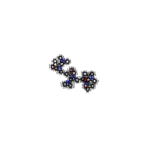 c1ccc(-c2ccccc2B2c3c(cc4c5ccccc5n5c6ccccc6c3c45)-n3c4cc(-c5ccc(B6c7ccccc7-n7c8cc(-c9ccc%10c%11c%12c%13c(c%14c%11n(c%10c9)-c9ccccc9B%14c9ccccc9-c9ccccc9)c9ccccc9n%13-c9ccccc9B%12c9ccccc9-c9ccccc9)ccc8c8c9c%10cccc%11c%12ccccc%12n(c9cc6c87)c%11%10)c(-c6ccccc6)c5)ccc4c4cccc2c43)cc1